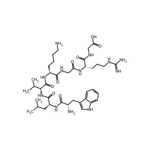 CC(C)C[C@H](NC(=O)[C@@H](N)Cc1c[nH]c2ccccc12)C(=O)N[C@H](C(=O)N[C@@H](CCCCN)C(=O)NCC(=O)N[C@@H](CCCNC(=N)N)C(=O)NCC(=O)O)C(C)C